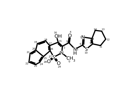 CN1C(C(=O)Nc2nc3c(s2)CCCC3)=C(O)c2ccc3ccccc3c2S1(=O)=O